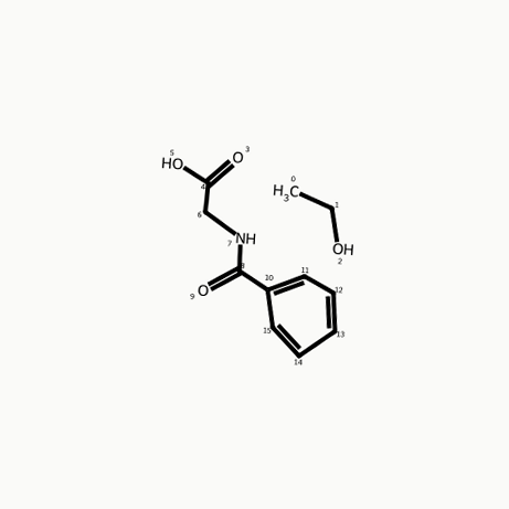 CCO.O=C(O)CNC(=O)c1ccccc1